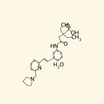 CCC(CC)(CC(=O)Nc1cccc(C=Cc2cccc(CN3CCCC3)n2)c1)C(=O)O.O